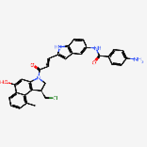 Cc1cccc2c(O)cc3c(c12)[C@H](CCl)CN3C(=O)/C=C/c1cc2cc(NC(=O)c3ccc(N)cc3)ccc2[nH]1